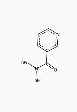 CCCN(CCC)C(=O)c1cccnc1